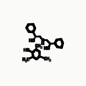 Cc1cc(C)c(O)c(C)c1.O[C@@H](CNC[C@H](O)c1ccccc1)c1ccccc1